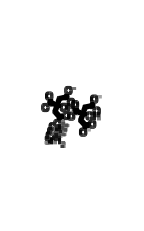 O=C([O-])CC(O)(CC(=O)[O-])C(=O)[O-].O=C([O-])CC(O)(CC(=O)[O-])C(=O)[O-].[Ca+2].[Ca+2].[Ca+2].[SrH2]